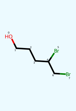 OCCCC(Br)CBr